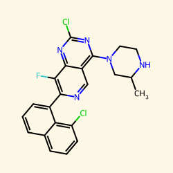 CC1CN(c2nc(Cl)nc3c(F)c(-c4cccc5cccc(Cl)c45)ncc23)CCN1